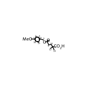 COc1ccc(COC(=O)CCC(C)(C)C(=O)O)cc1